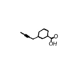 CC#CCC1CCCC(C(=O)O)C1